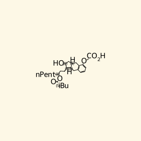 CCCCC[C@@H](CC[C@@H]1[C@H]2Cc3cccc(OCC(=O)O)c3C[C@H]2C[C@H]1O)OC(=O)[C@@H](C)CC